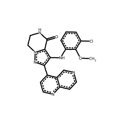 COc1c(Cl)cccc1Nc1c(-c2ccnc3ccncc23)nn2c1C(=O)NCC2